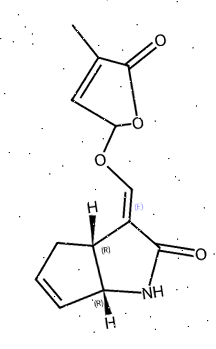 CC1=CC(O/C=C2/C(=O)N[C@@H]3C=CC[C@H]23)OC1=O